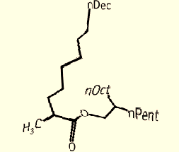 CCCCCCCCCCCCCCCCC(C)C(=O)OCC(CCCCC)CCCCCCCC